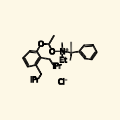 CC[N+](C)(OC(C)Oc1cccc(CC(C)C)c1CC(C)C)C(C)(C)c1ccccc1.[Cl-]